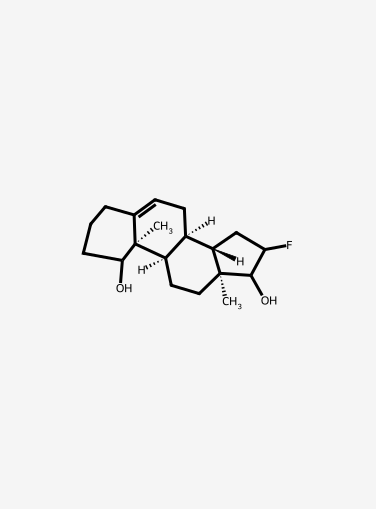 C[C@]12CC[C@@H]3[C@@H](CC=C4CCCC(O)[C@@]43C)[C@@H]1CC(F)C2O